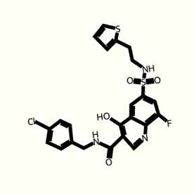 O=C(NCc1ccc(Cl)cc1)c1cnc2c(F)cc(S(=O)(=O)NCCc3cccs3)cc2c1O